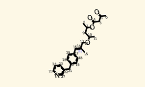 CC(=O)CC(=O)OC(C)CC(C)OC/C(C)=C/c1ccc(Cc2cccnc2)cc1